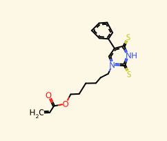 C=CC(=O)OCCCCCCn1cc(-c2ccccc2)c(=S)[nH]c1=S